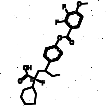 CCC(C[C@@](F)(C(=O)O)C1CCCCC1)c1ccc(OC(=O)c2ccc(OC)c(F)c2F)cc1